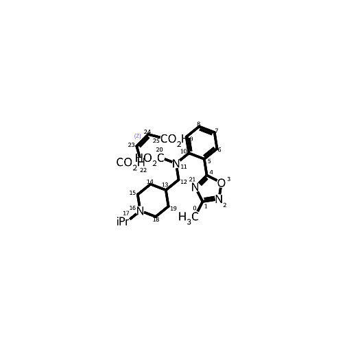 Cc1noc(-c2ccccc2N(CC2CCN(C(C)C)CC2)C(=O)O)n1.O=C(O)/C=C\C(=O)O